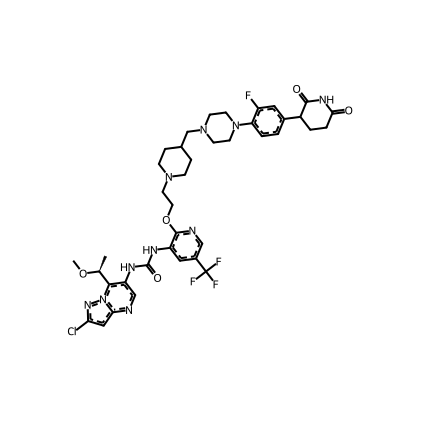 CO[C@@H](C)c1c(NC(=O)Nc2cc(C(F)(F)F)cnc2OCCN2CCC(CN3CCN(c4ccc(C5CCC(=O)NC5=O)cc4F)CC3)CC2)cnc2cc(Cl)nn12